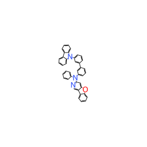 c1ccc(N(c2cccc(-c3cccc(-n4c5ccccc5c5ccccc54)c3)c2)c2cc3oc4ccccc4c3cn2)cc1